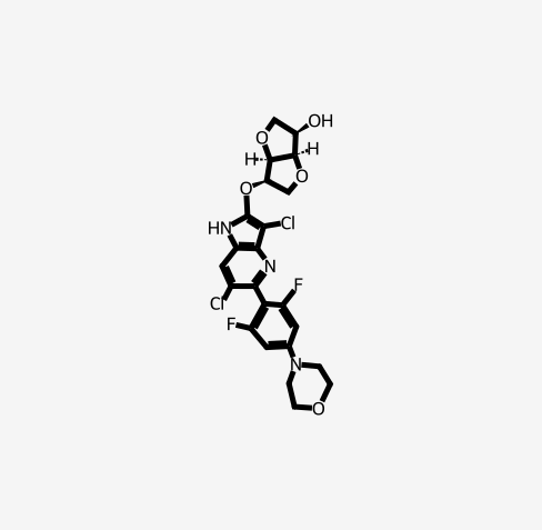 O[C@@H]1CO[C@H]2[C@@H]1OC[C@H]2Oc1[nH]c2cc(Cl)c(-c3c(F)cc(N4CCOCC4)cc3F)nc2c1Cl